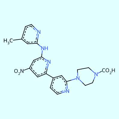 Cc1ccnc(Nc2cc([N+](=O)[O-])cc(-c3ccnc(N4CCN(C(=O)O)CC4)c3)n2)c1